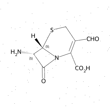 N[C@H]1C(=O)N2C(C(=O)O)=C(C=O)CS[C@@H]12